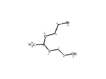 CC(OCCO)OCCBr